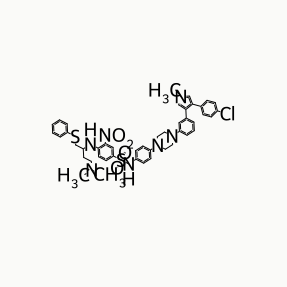 CN(C)CCC(CSc1ccccc1)Nc1ccc(S(=O)(=O)Nc2ccc(N3CCN(c4cccc(-c5cn(C)cc5-c5ccc(Cl)cc5)c4)CC3)cc2)cc1[N+](=O)[O-]